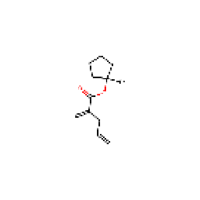 C=CCC(=C)C(=O)OC1(CC)CCCC1